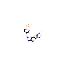 CC1(C)NC(=O)c2cc(-c3nc(NC4CCN(S(C)(=O)=O)CC4)ncc3C(F)(F)F)sc21